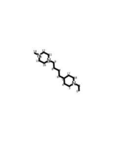 CCN1CCC([CH]CCCN2CCN(C)CC2)CC1